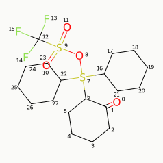 O=C1CCCCC1S(OS(=O)(=O)C(F)(F)F)(C1CCCCC1)C1CCCCC1